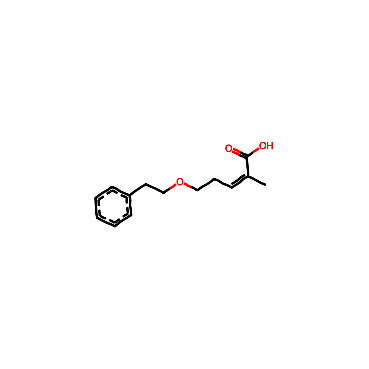 CC(=CCCOCCc1ccccc1)C(=O)O